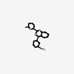 Cc1cccc(-c2nc(-c3cccc(N)c3)c3ccccc3n2)n1